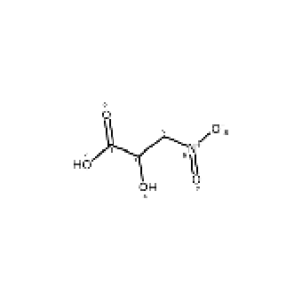 O=C(O)C(O)C[N+](=O)[O-]